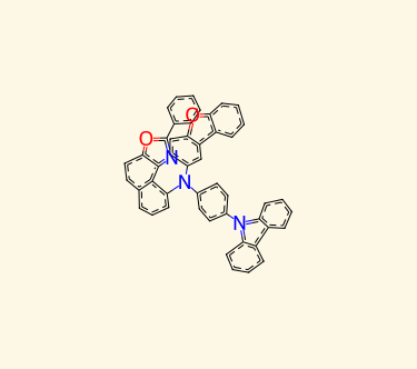 c1ccc(-c2nc3c(ccc4cccc(N(c5ccc(-n6c7ccccc7c7ccccc76)cc5)c5ccc6oc7ccccc7c6c5)c43)o2)cc1